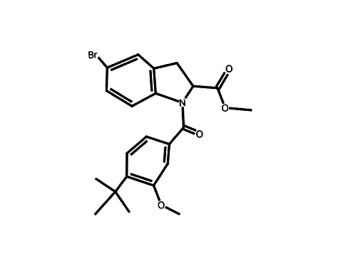 COC(=O)C1Cc2cc(Br)ccc2N1C(=O)c1ccc(C(C)(C)C)c(OC)c1